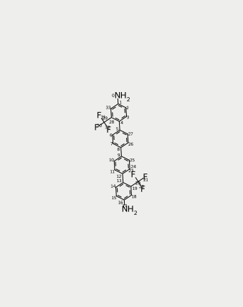 Nc1ccc(-c2ccc(-c3ccc(-c4ccc(N)cc4C(F)(F)F)cc3)cc2)c(C(F)(F)F)c1